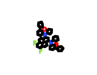 Fc1cc(F)c2ccc3c(N(c4ccccc4)c4cccc5c4oc4ccccc45)cc(N(c4ccccc4)c4cccc5c4oc4ccccc45)c4ccc1c2c43